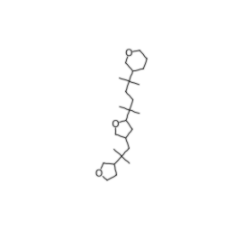 CC(C)(CCC(C)(C)C1CC(CC(C)(C)C2CCOC2)CO1)C1CCCOC1